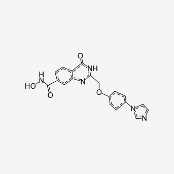 O=C(NO)c1ccc2c(=O)[nH]c(COc3ccc(-n4ccnc4)cc3)nc2c1